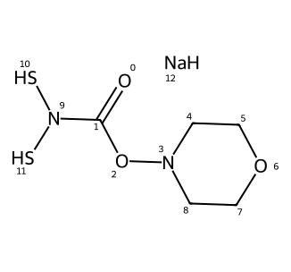 O=C(ON1CCOCC1)N(S)S.[NaH]